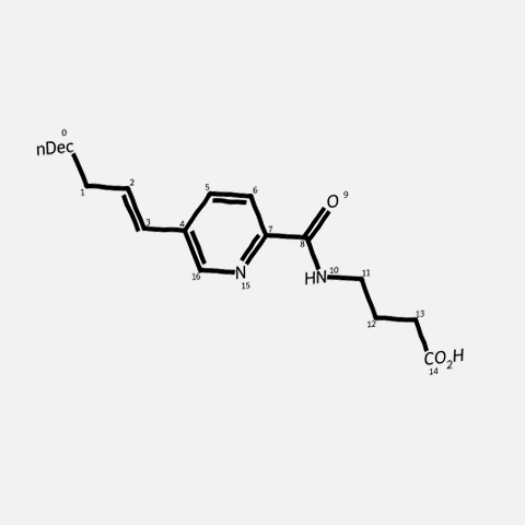 CCCCCCCCCCC/C=C/c1ccc(C(=O)NCCCC(=O)O)nc1